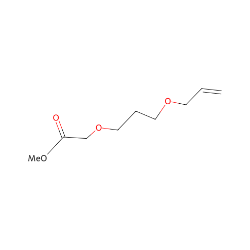 C=CCOCCCOCC(=O)OC